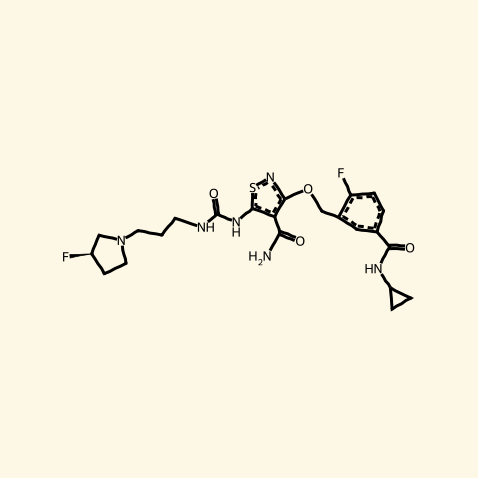 NC(=O)c1c(OCc2cc(C(=O)NC3CC3)ccc2F)nsc1NC(=O)NCCCN1CC[C@@H](F)C1